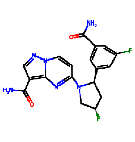 NC(=O)c1cc(F)cc([C@H]2C[C@H](F)CN2c2ccn3ncc(C(N)=O)c3n2)c1